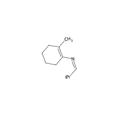 CC1=C(/N=C\C(C)C)CCCC1